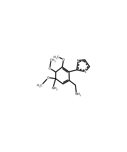 COC1=C(c2nccs2)C(CN)=CC(N)(OC)C1OC